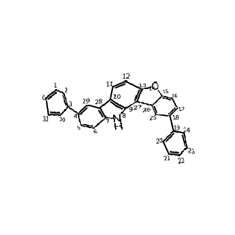 c1ccc(-c2ccc3[nH]c4c(ccc5oc6ccc(-c7ccccc7)cc6c54)c3c2)cc1